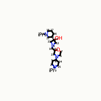 CC(C)N1CCC(N2CCOC(CN3CC(O)([C@@H]4CCCN(C(C)C)C4)C3)C2)CC1